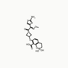 CON=C(C(=O)N1CC(Oc2ccc3c(c2C(=O)O)O[B-](O)(O)CC3)C1)c1csc(N)n1